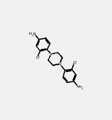 Nc1ccc(N2CCN(c3ccc(N)cc3Cl)CC2)c(Cl)c1